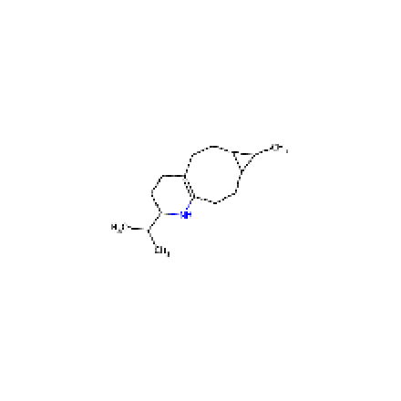 CC(C)C1CCC2=C(CCC3C(C)C3CC2)N1